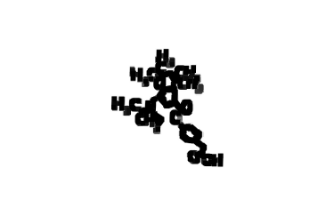 CC(C)N(Cc1cc(C(=O)Oc2ccc(CC(=O)O)cc2)cc2c1OC(C)(C)CC2(C)C)C1CC1